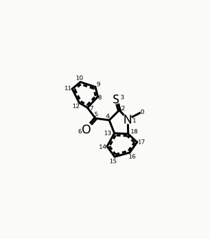 CN1C(=S)C(C(=O)c2ccccc2)c2ccccc21